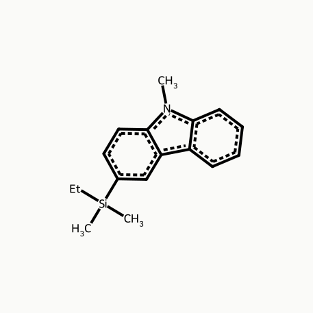 CC[Si](C)(C)c1ccc2c(c1)c1ccccc1n2C